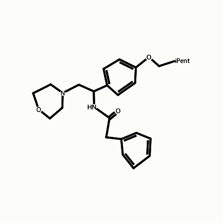 CCCC(C)COc1ccc(C(CN2CCOCC2)NC(=O)Cc2ccccc2)cc1